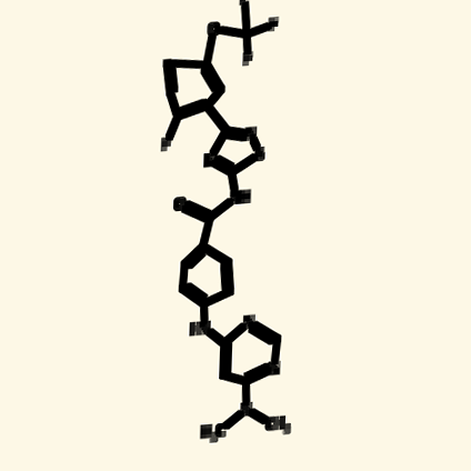 CN(C)c1cc(Nc2ccc(C(=O)Nc3nc(-c4cc(OC(F)(F)F)ccc4F)ns3)cc2)ncn1